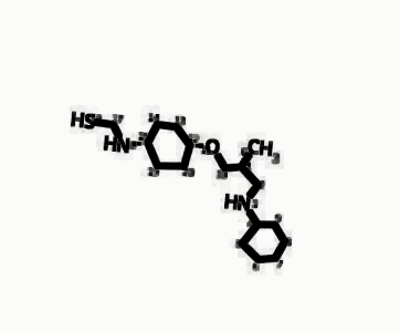 CC(CNC1CCCCC1)CO[C@H]1CC[C@@H](NCS)CC1